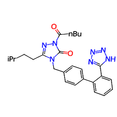 CCCCC(=O)n1nc(CCC(C)C)n(Cc2ccc(-c3ccccc3-c3nnn[nH]3)cc2)c1=O